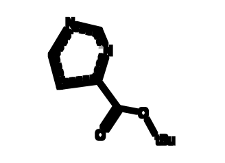 CC(C)(C)OC(=O)c1ccncn1